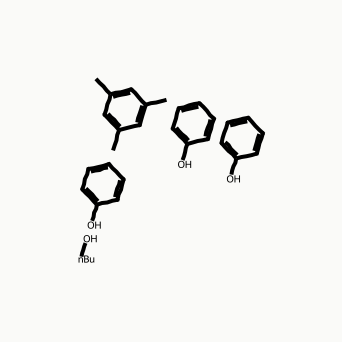 CCCCO.Cc1cc(C)cc(C)c1.Oc1ccccc1.Oc1ccccc1.Oc1ccccc1